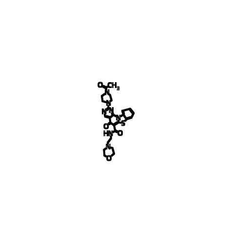 CC(=O)N1CCN(c2ncc3c(=O)c(C(=O)NCCN4CCOCC4)c4sc5ccccc5n4c3n2)CC1